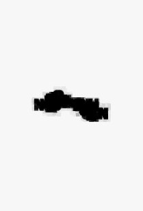 N#CC1(C(=O)N2CCC[C@H]2C(=O)Nc2ccc(/C=C/c3ccc(NC(=O)[C@@H]4CCCN4C(=O)C4(C#N)CC4)cc3)cc2)CC1